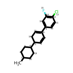 CC1CCC(C2C=CC(c3ccc(Cl)c(F)c3)=CC2)CC1